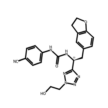 N#Cc1ccc(NC(=O)N[C@@H](Cc2ccc3c(c2)CCO3)c2nnn(CCO)n2)cc1